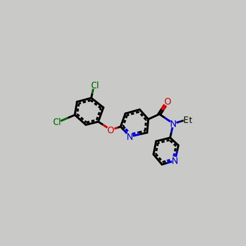 CCN(C(=O)c1ccc(Oc2cc(Cl)cc(Cl)c2)nc1)c1cccnc1